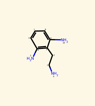 NCCc1c(N)cccc1N